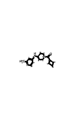 Cc1cc(NC2CCN(C(=O)C3CCC3)CC2)ccn1